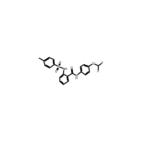 Cc1ccc(S(=O)(=O)Nc2ccccc2C(=O)Nc2ccc(OC(F)F)cc2)cc1